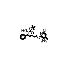 Cn1ncc2cc(Cl)nc(OCCCCC(c3ccccc3)N(O)C(=O)OC(C)(C)C)c21